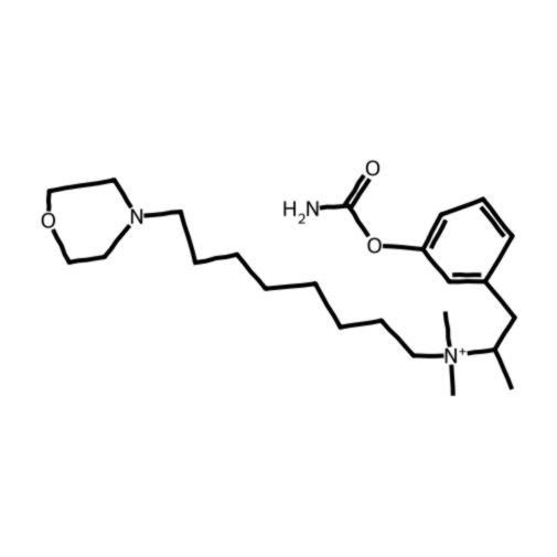 CC(Cc1cccc(OC(N)=O)c1)[N+](C)(C)CCCCCCCCN1CCOCC1